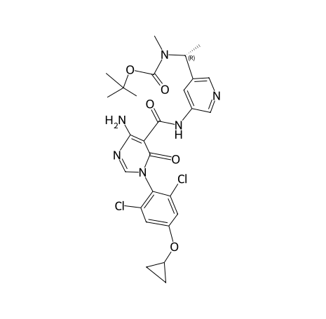 C[C@H](c1cncc(NC(=O)c2c(N)ncn(-c3c(Cl)cc(OC4CC4)cc3Cl)c2=O)c1)N(C)C(=O)OC(C)(C)C